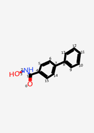 O=C(NO)c1ccc(-c2cc[c]cc2)cc1